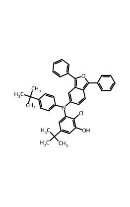 CC(C)(C)c1ccc(N(c2ccc3c(-c4ccccc4)oc(-c4ccccc4)c3c2)c2cc(C(C)(C)C)cc(O)c2Cl)cc1